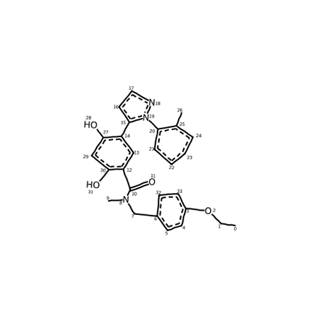 CCOc1ccc(CN(C)C(=O)c2cc(-c3ccnn3-c3ccccc3C)c(O)cc2O)cc1